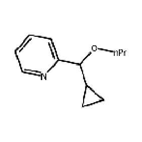 CCCOC(c1ccccn1)C1CC1